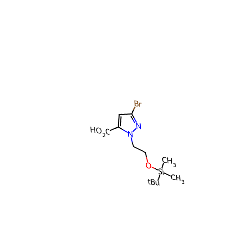 CC(C)(C)[Si](C)(C)OCCn1nc(Br)cc1C(=O)O